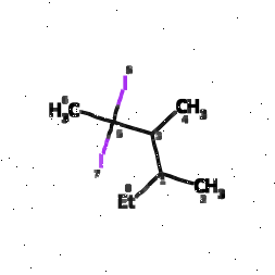 CCC(C)C(C)C(C)(I)I